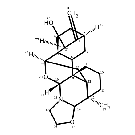 C=C1[C@H]2CC[C@]3(C(C2)[C@@]24CCC[C@@]5(C)C6OCCN6[C@@H]2O[C@@H]3CC54)[C@H]1O